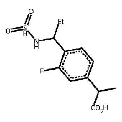 CCC(N[SH](=O)=O)c1ccc(C(C)C(=O)O)cc1F